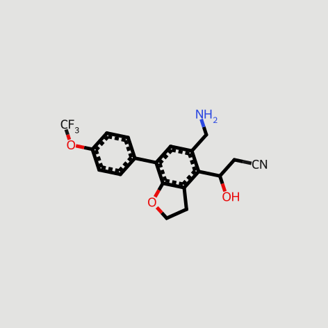 N#CCC(O)c1c(CN)cc(-c2ccc(OC(F)(F)F)cc2)c2c1CCO2